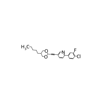 CCCCCC1COC(C#Cc2ccc(-c3ccc(Cl)c(F)c3)nc2)OC1